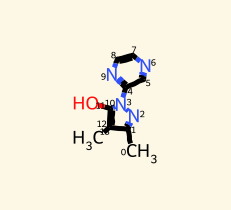 Cc1nn(-c2cnccn2)c(O)c1C